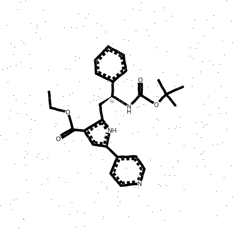 CCOC(=O)c1cc(-c2ccncc2)[nH]c1C[C@H](NC(=O)OC(C)(C)C)c1ccccc1